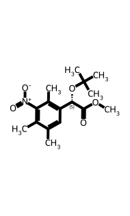 COC(=O)[C@@H](OC(C)(C)C)c1cc(C)c(C)c([N+](=O)[O-])c1C